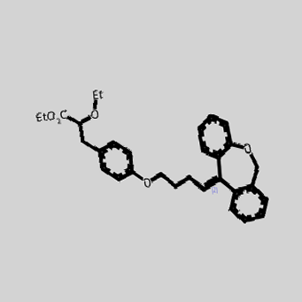 CCOC(=O)C(Cc1ccc(OCCC/C=C2/c3ccccc3COc3ccccc32)cc1)OCC